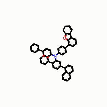 C1=Cc2c(oc3c(-c4ccc(N(c5ccc(-c6ccccc6)cc5)c5cc(-c6cccc7ccccc67)ccc5-c5ccccc5)cc4)cccc23)CC1